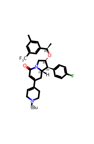 Cc1cc([C@@H](C)O[C@H]2CN3C(=O)C=C(C4=CCN(C(C)(C)C)CC4)C[C@H]3[C@@H]2c2ccc(F)cc2)cc(C(F)(F)F)c1